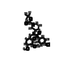 COc1ccc(CN(C2CCCN(C(=O)OC(C)(C)C)C2)S(=O)(=O)c2ccc(Cl)cc2)cc1OC